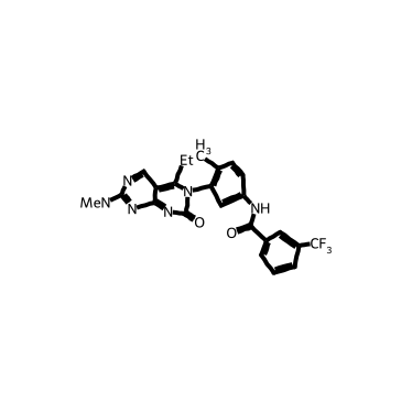 CCc1c2cnc(NC)nc2nc(=O)n1-c1cc(NC(=O)c2cccc(C(F)(F)F)c2)ccc1C